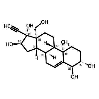 C#C[C@]1(O)[C@H](O)C[C@H]2[C@@H]3CC=C4[C@H](O)[C@@H](O)CC[C@]4(C)[C@H]3CC[C@@]21CO